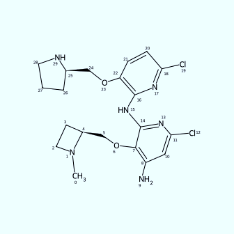 CN1CC[C@H]1COc1c(N)cc(Cl)nc1Nc1nc(Cl)ccc1OC[C@H]1CCCN1